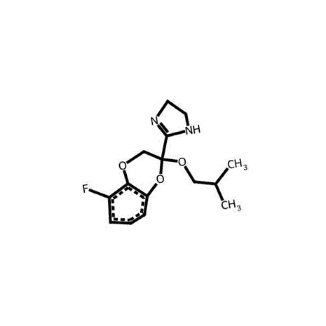 CC(C)COC1(C2=NCCN2)COc2c(F)cccc2O1